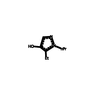 CCCn1ncc(O)c1CC